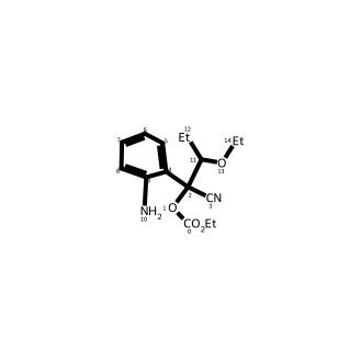 CCOC(=O)OC(C#N)(c1ccccc1N)C(CC)OCC